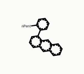 CCCCCc1ccccc1-c1cccc2cc3ccccc3cc12